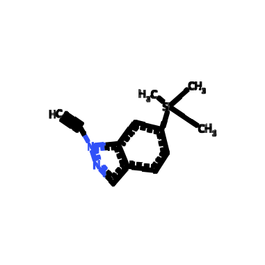 C#Cn1ncc2ccc([Si](C)(C)C)cc21